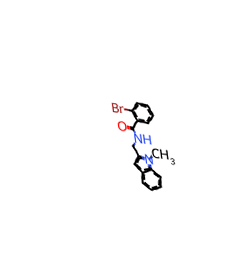 Cn1c(CNC(=O)c2ccccc2Br)cc2ccccc21